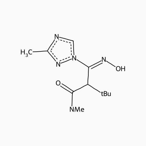 CNC(=O)C(C(=NO)n1cnc(C)n1)C(C)(C)C